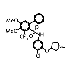 COc1cc(-c2ccccc2)c(S(=O)(=O)Nc2ccc(Cl)c(OC3CCN(C)C3)c2)c(C(F)(F)F)c1OC